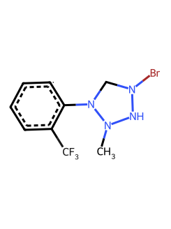 CN1NN(Br)CN1c1[c]cccc1C(F)(F)F